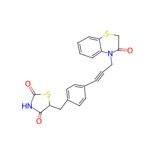 O=C1NC(=O)C(Cc2ccc(C#CCN3C(=O)CSc4ccccc43)cc2)S1